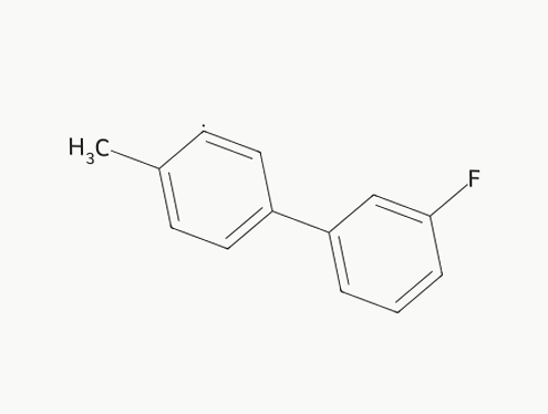 Cc1[c]cc(-c2cccc(F)c2)cc1